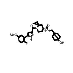 COc1cc(-c2cc(C(=O)N3CC[C@H](C(=O)NCC45CCC(O)(CC4)CC5)CC34CC4)n[nH]2)c(F)cn1